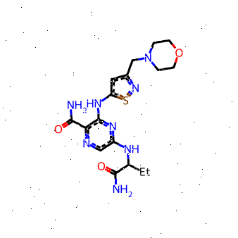 CCC(Nc1cnc(C(N)=O)c(Nc2cc(CN3CCOCC3)ns2)n1)C(N)=O